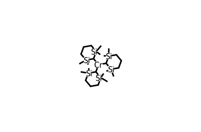 C[Si]1(C)CCC[Si](C)(C)[CH]1[Cr]([CH]1[Si](C)(C)CCC[Si]1(C)C)[CH]1[Si](C)(C)CCC[Si]1(C)C